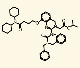 CC(C)OC(=O)CN1Cc2cccc(OCCCC(=O)N(C3CCCCC3)C3CCCCC3)c2N=C1NC(=O)N(Cc1ccccc1)Cc1ccccc1